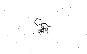 CCCC1([SiH](OC)OC)CCCC1